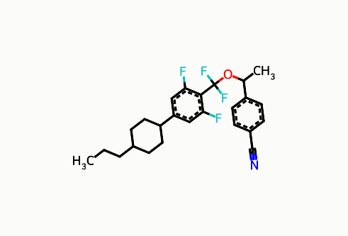 CCCC1CCC(c2cc(F)c(C(F)(F)OC(C)c3ccc(C#N)cc3)c(F)c2)CC1